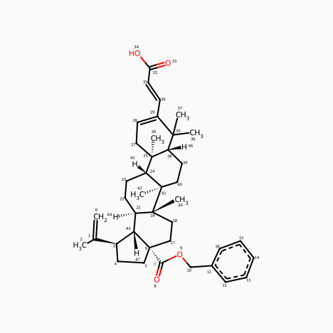 C=C(C)[C@@H]1CC[C@]2(C(=O)OCc3ccccc3)CC[C@]3(C)[C@H](CC[C@@H]4[C@@]5(C)CC=C(/C=C/C(=O)O)C(C)(C)[C@@H]5CC[C@]43C)[C@@H]12